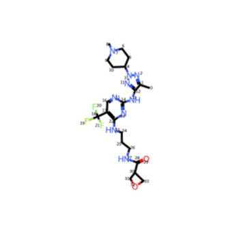 Cc1nn(C2CCN(C)CC2)nc1Nc1ncc(C(F)(F)F)c(NCCCNC(=O)C2COC2)n1